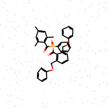 Cc1cc(C)c(C(=O)P(=O)(C(=O)c2c(COc3ccccc3)cccc2COc2ccccc2)c2ccccc2)c(C)c1